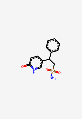 NS(=O)(=O)CC(c1ccccc1)c1ccc(=O)[nH]c1